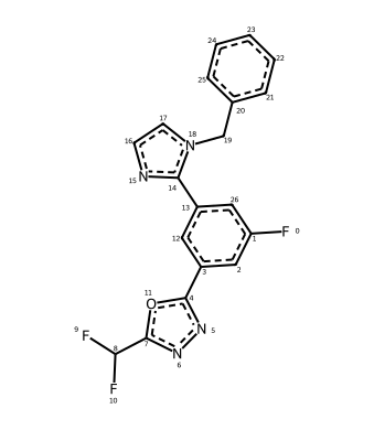 Fc1cc(-c2nnc(C(F)F)o2)cc(-c2nccn2Cc2ccccc2)c1